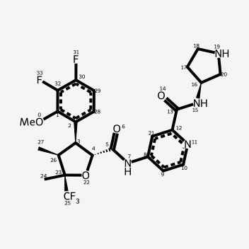 COc1c([C@H]2[C@H](C(=O)Nc3ccnc(C(=O)N[C@H]4CCNC4)c3)O[C@@](C)(C(F)(F)F)[C@H]2C)ccc(F)c1F